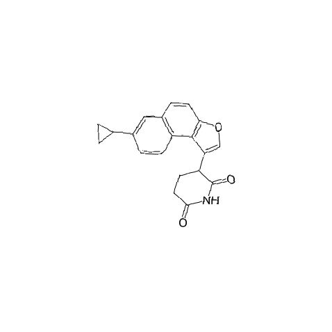 O=C1CCC(c2coc3ccc4cc(C5CC5)ccc4c23)C(=O)N1